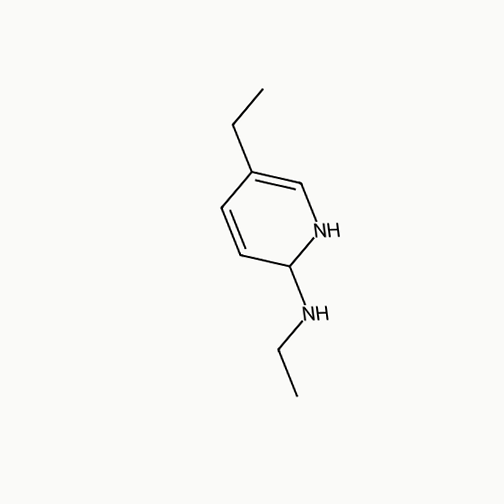 CCNC1C=CC(CC)=CN1